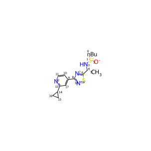 CCCC[S@+]([O-])N[C@H](C)c1nc(-c2ccnc(C3CC3)c2)ns1